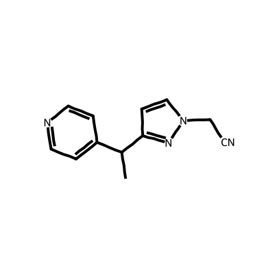 CC(c1ccncc1)c1ccn(CC#N)n1